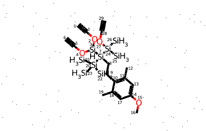 C#CO[SiH](OC#C)[Si](CCc1c(C)cc(OC)cc1C)([Si]([SiH3])([SiH3])[SiH3])[Si]([SiH3])([SiH3])OC#C